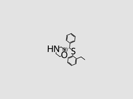 CCc1ccccc1SC(c1ccccc1)[C@H]1CNCCO1